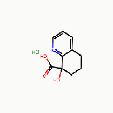 Cl.O=C(O)C1(O)CCCc2cccnc21